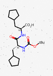 CC(C)(C)OC(=O)N[C@H](CC1CCCC1)C(=O)N[C@@H](CC1CCCC1)C(=O)O